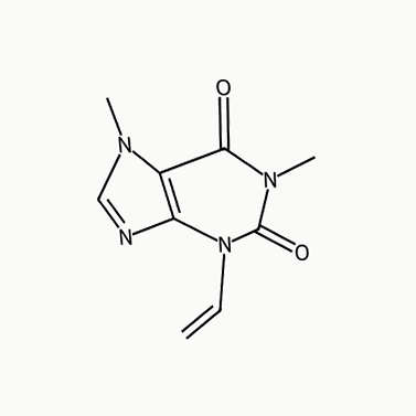 C=Cn1c(=O)n(C)c(=O)c2c1ncn2C